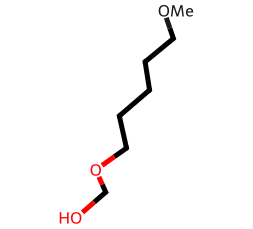 COCCCCCOCO